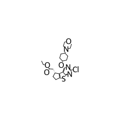 CCOC(=O)C[C@H]1CCc2sc3nc(Cl)nc(O[C@H]4CC[C@H](N5CCOCC5)CC4)c3c21